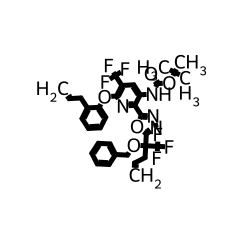 C=CCc1ccccc1Oc1nc(-c2nnc(C(CC=C)(OCc3ccccc3)C(F)(F)F)o2)c(NC(=O)OC(C)(C)C)cc1C(F)(F)F